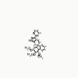 COc1cc(C2(c3ccccc3)C=Cc3c(-c4ccccn4)n[nH]c3C2)cc(OC)c1OC